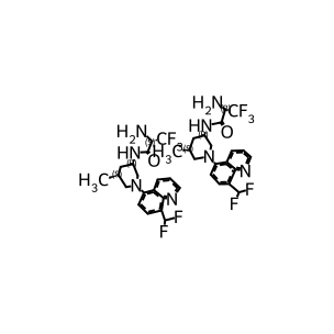 C[C@H]1C[C@@H](NC(=O)[C@@H](N)C(F)(F)F)CN(c2ccc(C(F)F)c3ncccc23)C1.C[C@H]1C[C@@H](NC(=O)[C@H](N)C(F)(F)F)CN(c2ccc(C(F)F)c3ncccc23)C1